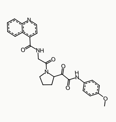 COc1ccc(NC(=O)C(=O)C2CCCN2C(=O)CNC(=O)c2ccnc3ccccc23)cc1